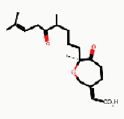 CC(C)=CCC(=O)C(C)CCC[C@]1(C)OC/C(=C/C(=O)O)CCC1=O